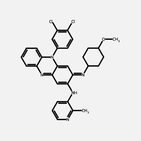 COC1CCC(/N=c2\cc3n(-c4ccc(Cl)c(Cl)c4)c4ccccc4nc-3cc2Nc2cccnc2C)CC1